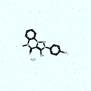 CN1C(=O)C2=C(O)N(c3ccc(C(F)(F)F)cc3)NN2c2ccccc21.O